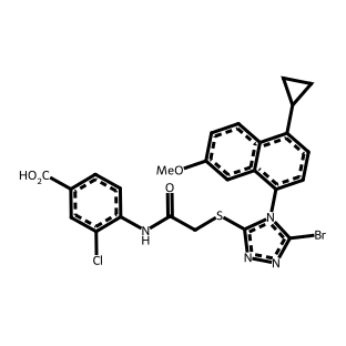 COc1ccc2c(C3CC3)ccc(-n3c(Br)nnc3SCC(=O)Nc3ccc(C(=O)O)cc3Cl)c2c1